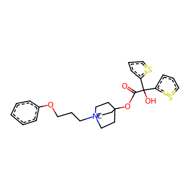 O=C(OC12CC[N+](CCCOc3ccccc3)(CC1)CC2)C(O)(c1cccs1)c1cccs1